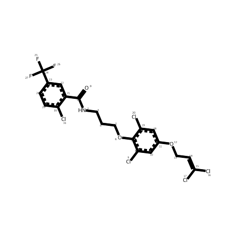 O=C(NCCCOc1c(Cl)cc(OCC=C(Cl)Cl)cc1Cl)c1cc(C(F)(F)F)ccc1Cl